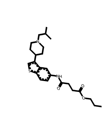 CCCOC(=O)CCC(=O)Nc1ccc2scc(C3CCN(CC(C)C)CC3)c2c1